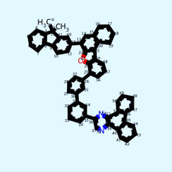 CC1(C)c2ccccc2-c2ccc(-c3cc4ccccc4c4c3oc3c(-c5cccc(-c6cccc(-c7cnc8c9ccccc9c9ccccc9c8n7)c6)c5)cccc34)cc21